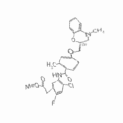 COC(=O)Cc1cc(NC(=O)c2ccc(OC[C@@H]3CN(C)c4ccccc4O3)cc2C)c(Cl)cc1F